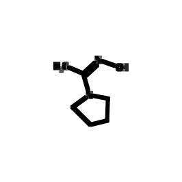 C/C(=N/O)N1CCCC1